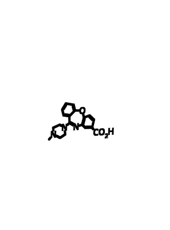 CN1CCN(C2=Nc3cc(C(=O)O)ccc3Oc3ccccc32)CC1